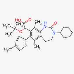 Cc1ccc(-c2c(C)c3c(c(C)c2C(OC(C)(C)C)C(=O)O)NC(=O)N(C2CCCCC2)CC3)cc1